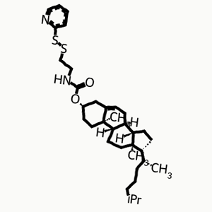 CC(C)CCC[C@@H](C)[C@H]1CC[C@H]2[C@@H]3CC=C4C[C@@H](OC(=O)NCCSSc5ccccn5)CC[C@]4(C)[C@H]3CC[C@]12C